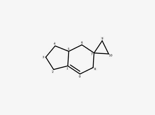 C1=C2CCCC2CC2(C1)CC2